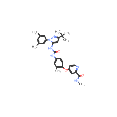 CNC(=O)c1cc(Oc2ccc(NC(=O)Nc3cc(C(C)(C)C)nn3-c3cc(C)cc(C)c3)cc2C)ccn1